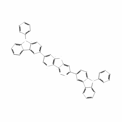 c1ccc(-n2c3ccccc3c3cc(-c4cnc5c(c4)oc4cc(-c6ccc7c(c6)c6ccccc6n7-c6ccccc6)nnc45)ccc32)cc1